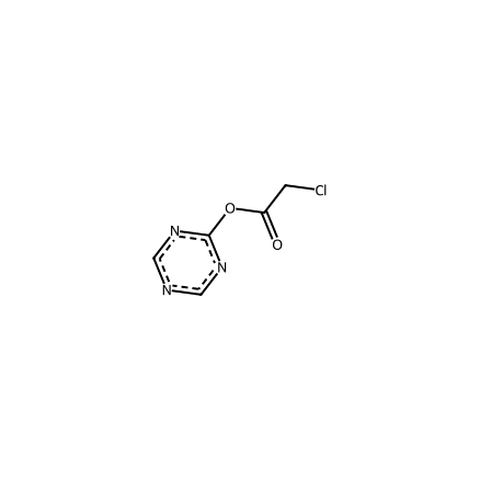 O=C(CCl)Oc1ncncn1